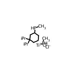 CPC1CCCC(C(C)C)(C(C)C)C1.C[PH][Ti+2].[Cl-].[Cl-]